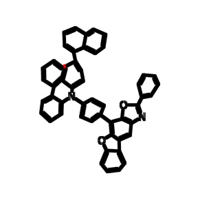 c1ccc(-c2nc3cc4c(oc5ccccc54)c(-c4ccc(N(c5ccc(-c6cccc7ccccc67)cc5)c5ccccc5-c5ccccc5)cc4)c3o2)cc1